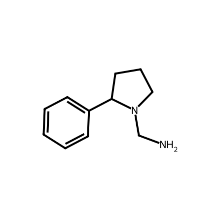 NCN1CCCC1c1ccccc1